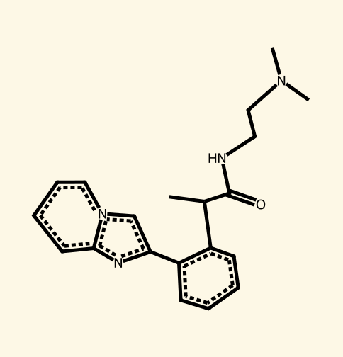 CC(C(=O)NCCN(C)C)c1ccccc1-c1cn2ccccc2n1